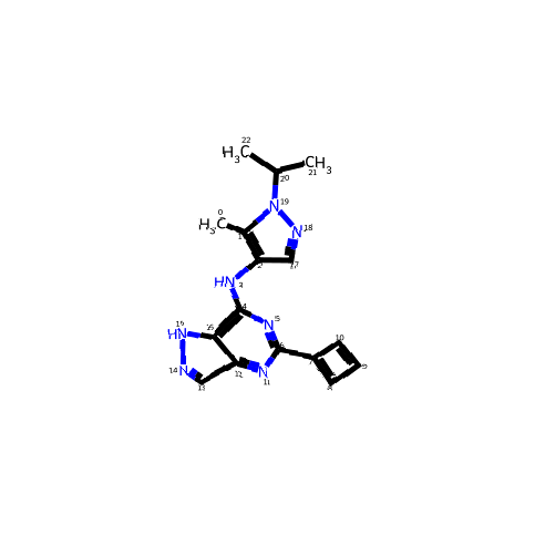 Cc1c(Nc2nc(C3=CC=C3)nc3cn[nH]c23)cnn1C(C)C